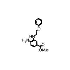 COC(=O)c1ccc(N)c(NCCOc2ccccc2)c1